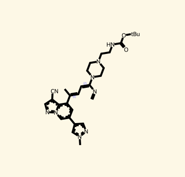 C=N/C(=C\C=C(/C)c1cc(-c2cnn(C)c2)cn2ncc(C#N)c12)N1CCN(CCNC(=O)OC(C)(C)C)CC1